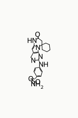 NS(=O)(=O)c1ccc(Nc2ncc3cc4n(c3n2)C2(CCCCC2)CC(=O)N4)cc1